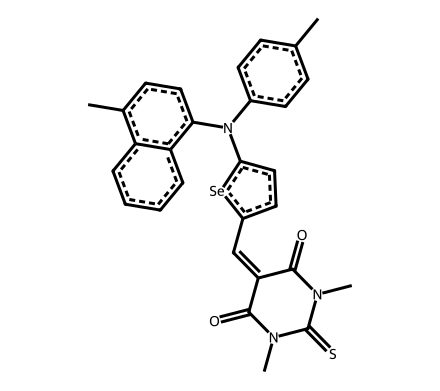 Cc1ccc(N(c2ccc(C=C3C(=O)N(C)C(=S)N(C)C3=O)[se]2)c2ccc(C)c3ccccc23)cc1